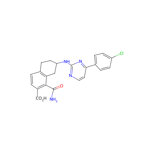 NC(=O)c1c(C(=O)O)ccc2c1CC(Nc1nccc(-c3ccc(Cl)cc3)n1)CC2